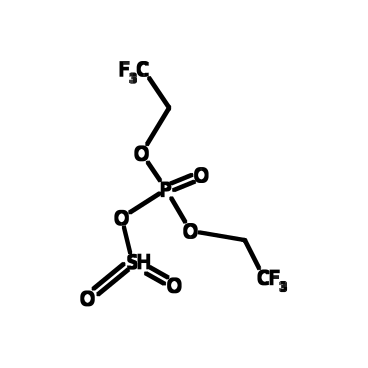 O=[SH](=O)OP(=O)(OCC(F)(F)F)OCC(F)(F)F